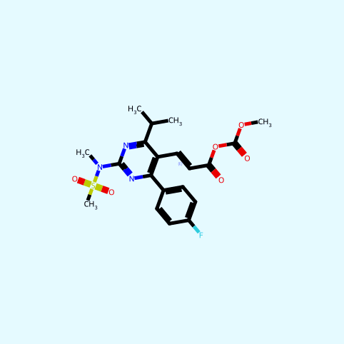 COC(=O)OC(=O)/C=C/c1c(-c2ccc(F)cc2)nc(N(C)S(C)(=O)=O)nc1C(C)C